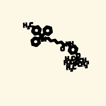 Cc1ccc(C(NCCCCCC(=O)Nc2ccc(O[Si](C)(C)C(C)(C)C)cc2)(c2ccccc2)c2ccccc2)cc1